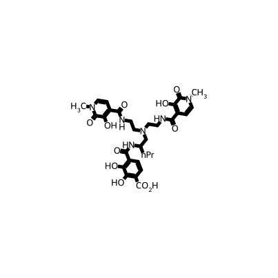 CCCC(CN(CCNC(=O)c1ccn(C)c(=O)c1O)CCNC(=O)c1ccn(C)c(=O)c1O)NC(=O)c1ccc(C(=O)O)c(O)c1O